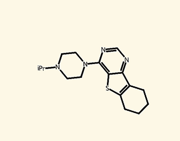 CC(C)N1CCN(c2ncnc3c4c(sc23)CCCC4)CC1